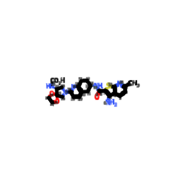 Cc1ccc2c(N)c(C(=O)N[C@H]3CCc4nc(N5C[C@@H](NC(=O)O)C6(C5)OCCO6)ccc4C3)sc2n1